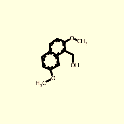 COc1ccc2ccc(OC)c(CO)c2c1